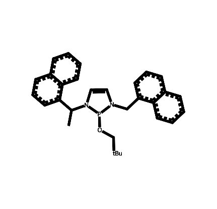 CC(c1cccc2ccccc12)N1C=CN(Cc2cccc3ccccc23)P1OCC(C)(C)C